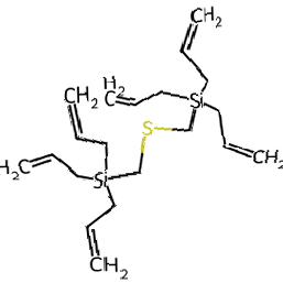 C=CC[Si](CC=C)(CC=C)CSC[Si](CC=C)(CC=C)CC=C